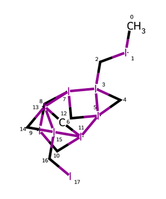 C[I]C[I]12C[I]13C[I]21C[I]C[I]32C[I]13C[I]23CI